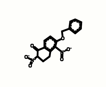 O=C1c2ccc(OCc3ccccc3)c([N+](=O)[O-])c2CCC1[N+](=O)[O-]